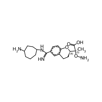 C[C@@](ON)(C(=O)O)[C@H]1CCc2cc(C(=N)NC3CCCC(N)CC3)ccc2O1